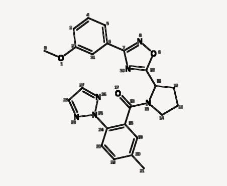 COc1cccc(-c2noc(C3CCCN3C(=O)c3cc(C)ccc3-n3nccn3)n2)c1